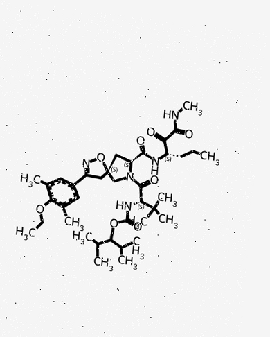 CCC[C@H](NC(=O)[C@@H]1C[C@]2(CC(c3cc(C)c(OCC)c(C)c3)=NO2)CN1C(=O)[C@@H](NC(=O)OC(C(C)C)C(C)C)C(C)(C)C)C(=O)C(=O)NC